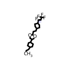 CCCC1CCC(C2COC(CCC3CCC(/C(F)=C/C(F)(F)F)CC3)OC2)CC1